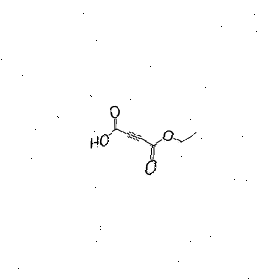 CCOC(=O)C#CC(=O)O